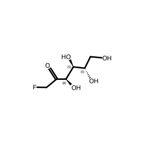 O=C(CF)[C@H](O)[C@@H](O)[C@@H](O)CO